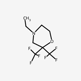 CCN1CCOC(C(F)(F)F)(C(F)(F)F)C1